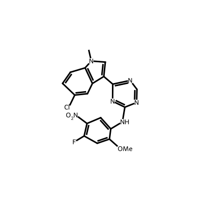 COc1cc(F)c([N+](=O)[O-])cc1Nc1ncnc(-c2cn(C)c3ccc(Cl)cc23)n1